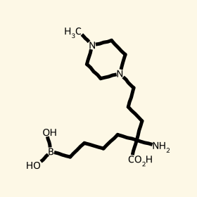 CN1CCN(CCCC(N)(CCCCB(O)O)C(=O)O)CC1